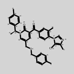 Cc1ccc(COCc2cc(C(=O)c3ccc(-n4cnc(C)c4Cl)c(C)c3)c(=O)n([C@@H](C)c3ccc(C)cc3)c2)cc1